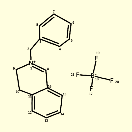 C1=[N+](Cc2ccccc2)CCc2ccccc21.F[B-](F)(F)F